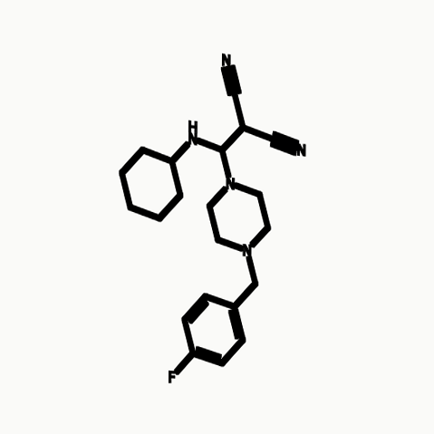 N#CC(C#N)C(NC1CCCCC1)N1CCN(Cc2ccc(F)cc2)CC1